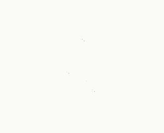 CC(C)(N)C(=N)OC=N